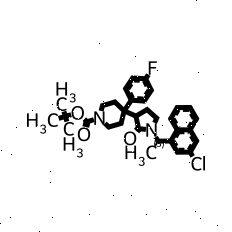 C[C@@H](c1cc(Cl)cc2ccccc12)N1CCC(C2(c3ccc(F)cc3)CCN(C(=O)OC(C)(C)C)CC2)C1=O